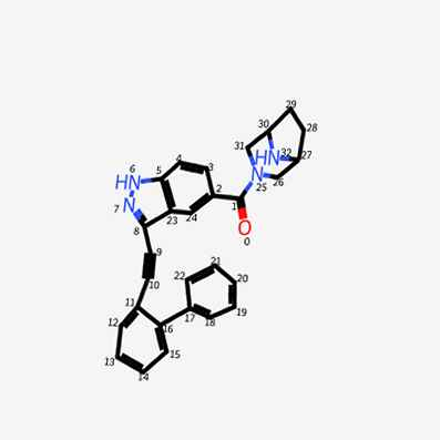 O=C(c1ccc2[nH]nc(C#Cc3ccccc3-c3ccccc3)c2c1)N1CC2CCC(C1)N2